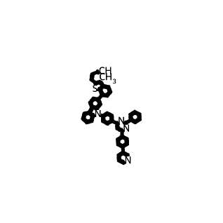 C#C/C=C\c1sc2c(-c3ccc4c5ccccc5n(-c5ccc(-c6cc(-c7ccc(-c8cccnc8)cc7)nc(-c7ccccc7)n6)cc5)c4c3)cccc2c1C